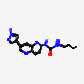 CCCCNC(=O)Nc1ccc2ncc(-c3cn[nH]c3)cc2n1